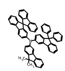 CC1(C)c2ccccc2-c2cc(N(c3ccc4c(c3)-c3ccccc3C4(c3ccccc3)c3ccccc3)c3ccc4c(c3)C3(c5ccccc5-c5ccccc53)c3ccccc3-4)ccc21